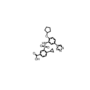 O=C(O)c1ccc(C2CC2)c(S(=O)(=O)Nc2cc(-n3cnnn3)ccc2OC2CCCC2)c1